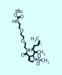 C=C(/C=C\C=C/C)C1C(C(=O)NCCOCCOCCNC(=O)OC(C)(C)C)=CCN1S(C)(=O)=O